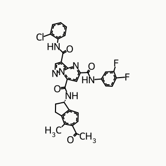 CC(=O)c1ccc2c(c1C)CC[C@@H]2NC(=O)c1cc(C(=O)Nc2ccc(F)c(F)c2)nc2c(C(=O)Nc3ccccc3Cl)cnn12